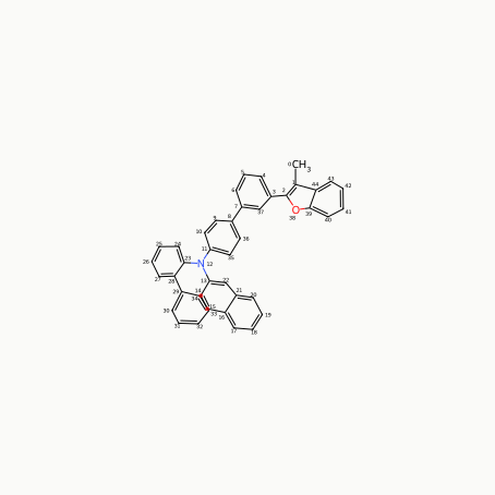 Cc1c(-c2cccc(-c3ccc(N(c4ccc5ccccc5c4)c4ccccc4-c4ccccc4)cc3)c2)oc2ccccc12